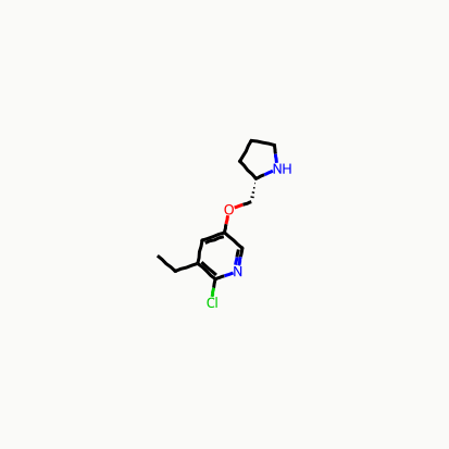 CCc1cc(OC[C@@H]2CCCN2)cnc1Cl